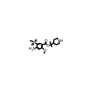 CCS(=O)(=O)c1cc(C(=O)OC(C)(C)C2CCNCC2)c(OC)cc1N